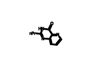 CCCc1nc2cccnc2c(=O)[nH]1